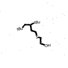 CC(C)(C)CC(CCSCCO)C(C)(C)C